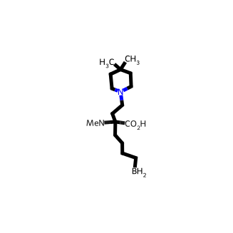 BCCCCC(CCN1CCC(C)(C)CC1)(NC)C(=O)O